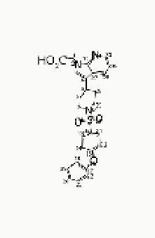 O=C(O)Cn1cc(C2CCN(S(=O)(=O)c3ccc(Oc4ccccc4)cc3)CC2)c2cccnc21